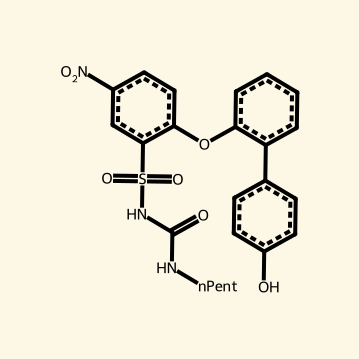 CCCCCNC(=O)NS(=O)(=O)c1cc([N+](=O)[O-])ccc1Oc1ccccc1-c1ccc(O)cc1